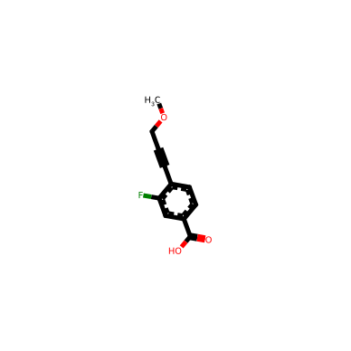 COCC#Cc1ccc(C(=O)O)cc1F